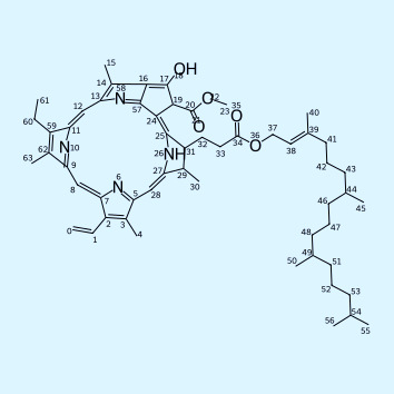 C=CC1=C(C)C2=NC1=CC1=NC(=CC3=C(C)C4=C(O)C(C(=O)OC)C(=C5NC(=C2)C(C)C5CCC(=O)OC/C=C(\C)CCCC(C)CCCC(C)CCCC(C)C)C4=N3)C(CC)=C1C